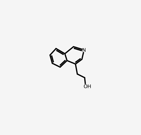 OCCc1cncc2ccccc12